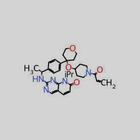 C=CC(=O)N1CCC(OC2(c3ccc([C@H](C)Nc4ncc5ccc(=O)n(C(C)C)c5n4)cc3)CCOCC2)CC1